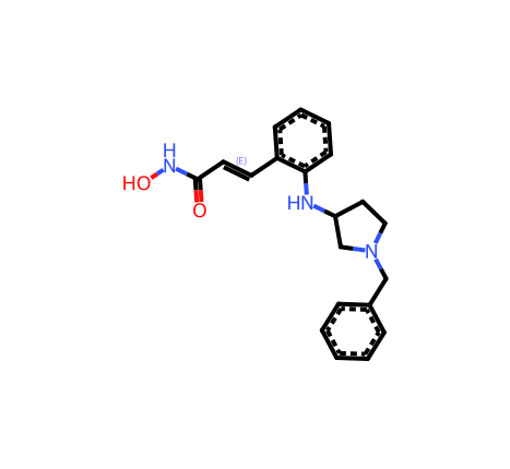 O=C(/C=C/c1ccccc1NC1CCN(Cc2ccccc2)C1)NO